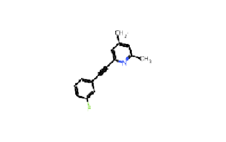 [CH2]c1cc(C)nc(C#Cc2cccc(F)c2)c1